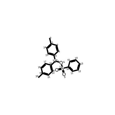 Cc1ccc([I+](OS(=O)(=O)c2ccccc2)c2ccc(C)cc2)cc1